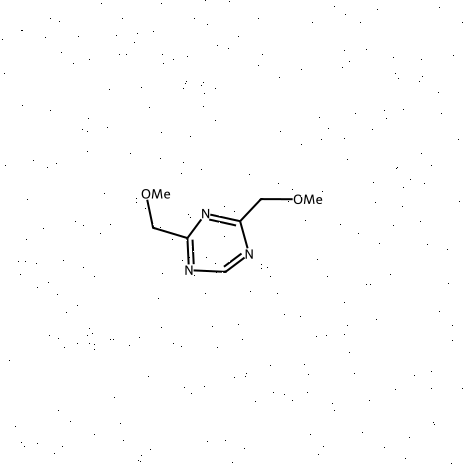 COCc1ncnc(COC)n1